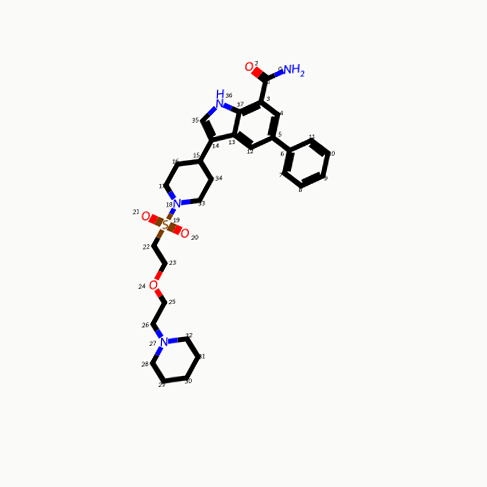 NC(=O)c1cc(-c2ccccc2)cc2c(C3CCN(S(=O)(=O)CCOCCN4CCCCC4)CC3)c[nH]c12